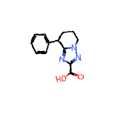 O=C(O)c1nc2n(n1)CCCC2c1ccccc1